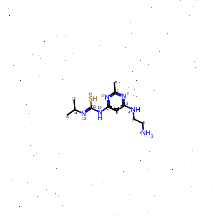 Cc1nc(NCCN)cc(N/C(S)=N/C(C)C)n1